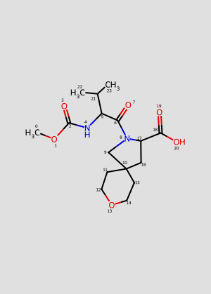 COC(=O)NC(C(=O)N1CC2(CCOCC2)CC1C(=O)O)C(C)C